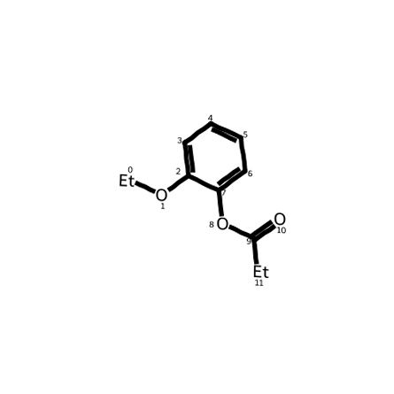 CCOc1ccccc1OC(=O)CC